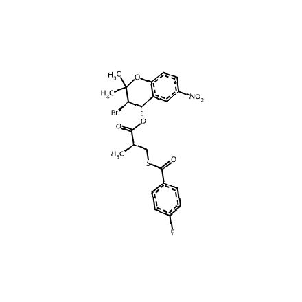 C[C@H](CSC(=O)c1ccc(F)cc1)C(=O)O[C@H]1c2cc([N+](=O)[O-])ccc2OC(C)(C)[C@@H]1Br